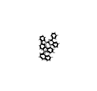 c1ccc(-c2nc(-n3c4ccccc4c4ccc5c(c6ccccc6n5-c5cccc6ccccc56)c43)nc3ccccc23)cc1